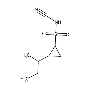 CCC(C)C1CC1S(=O)(=O)NC#N